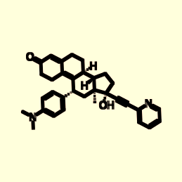 CN(C)c1ccc([C@H]2C[C@@]3(C)[C@@H](CC[C@@]3(O)C#Cc3ccccn3)[C@@H]3CCC4=CC(=O)CCC4=C32)cc1